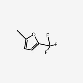 Cc1[c]cc(C(F)(F)F)o1